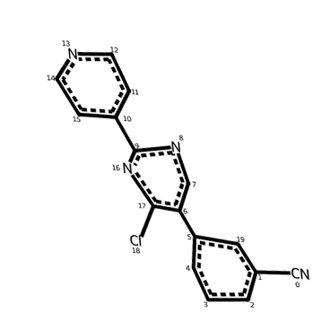 N#Cc1cccc(-c2cnc(-c3ccncc3)nc2Cl)c1